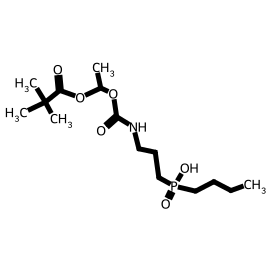 CCCCP(=O)(O)CCCNC(=O)OC(C)OC(=O)C(C)(C)C